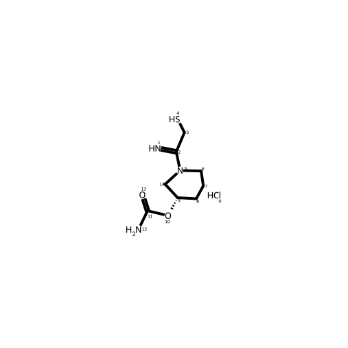 Cl.N=C(CS)N1CCC[C@H](OC(N)=O)C1